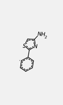 Nc1csc(-c2[c]cccc2)n1